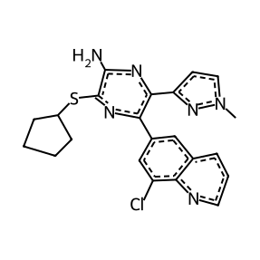 Cn1ccc(-c2nc(N)c(SC3CCCC3)nc2-c2cc(Cl)c3ncccc3c2)n1